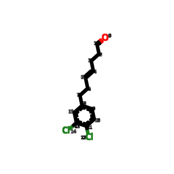 O=CCCC=CCCc1ccc(Cl)c(Cl)c1